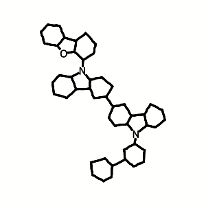 C1CCC(C2CCCC(N3C4CCCCC4C4CC(C5CCC6C(C5)C5CCCCC5N6C5CCCC6C7CCCCC7OC65)CCC43)C2)CC1